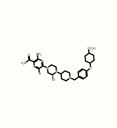 CCOC(=O)C1CCC(Oc2ccc(CN3CCC(N4CCN(c5nc(N)c(C(N)=O)nc5Cl)C[C@@H]4CC)CC3)cc2)CC1